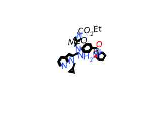 CCOC(=O)N1CC(Cn2c(-c3cc4cccnc4n3CC3CC3)nc3cc(C(=O)N4CC5CCC4[C@@H]5N)cc(OC)c32)C1